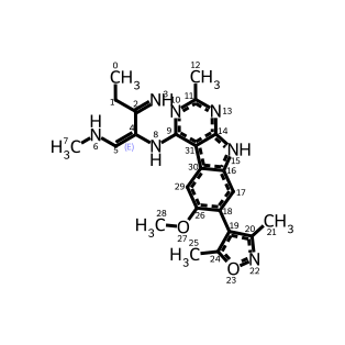 CCC(=N)/C(=C\NC)Nc1nc(C)nc2[nH]c3cc(-c4c(C)noc4C)c(OC)cc3c12